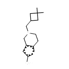 CNc1cc2c(s1)CCN(CC1CC(F)(F)C1)C2